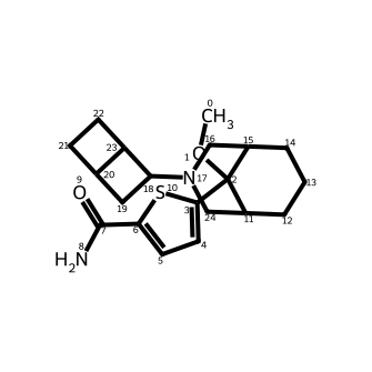 COC1(c2ccc(C(N)=O)s2)C2CCCC1CN(C1CC3CCC31)C2